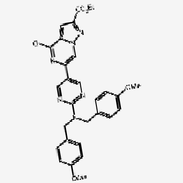 CCOC(=O)c1cc2c(Cl)nc(-c3cnc(N(Cc4ccc(OC)cc4)Cc4ccc(OC)cc4)nc3)cn2n1